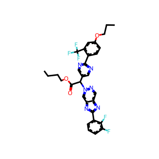 CCCCOC(=O)C(c1cnc(-c2ccc(OCCC)cc2C(F)(F)F)nc1)n1cc2nc(-c3cccc(F)c3F)nc-2cn1